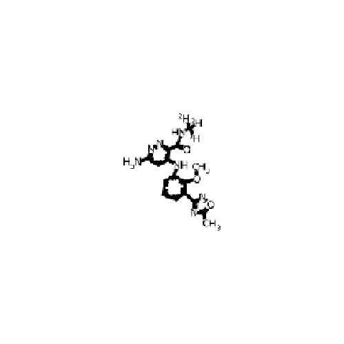 [2H]C([2H])([2H])NC(=O)c1nnc(N)cc1Nc1cccc(-c2noc(C)n2)c1OC